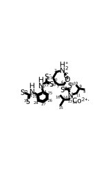 C1CC[NH2+]COCC1.CC(C)CN(CC(C)C)C(=S)[S-].S=C([S-])Nc1ccccc1NC(=S)[S-].[Co+2]